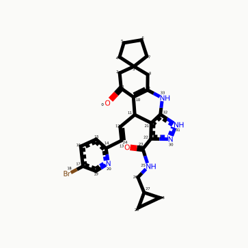 O=C1CC2(CCCC2)CC2=C1C(/C=C/c1ccc(Br)cn1)c1c(C(=O)NCC3CC3)n[nH]c1N2